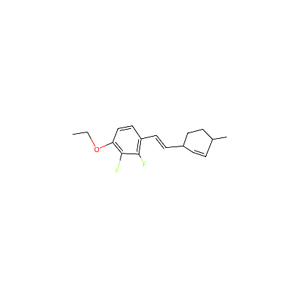 CCOc1ccc(/C=C/C2C=CC(C)CC2)c(F)c1F